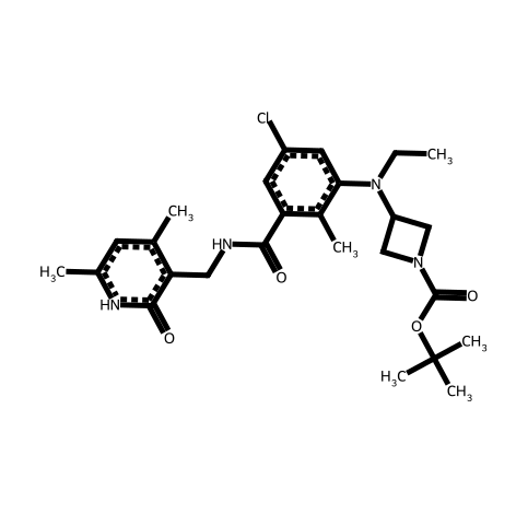 CCN(c1cc(Cl)cc(C(=O)NCc2c(C)cc(C)[nH]c2=O)c1C)C1CN(C(=O)OC(C)(C)C)C1